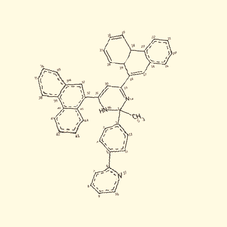 CC1(c2ccc(-c3ccccn3)cc2)N=C(C2=Cc3ccccc3C3C=CC=CC23)C=C(c2cc3ccccc3c3ccccc23)N1